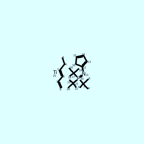 C=CC=CCC.CC(C)(C)P(=NC1=CC=CC1)(C(C)(C)C)C(C)(C)C.[Ti]